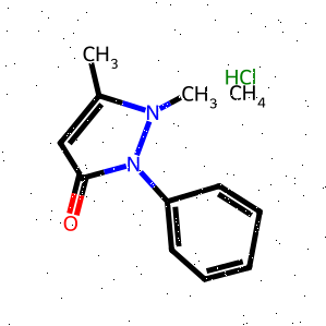 C.Cc1cc(=O)n(-c2ccccc2)n1C.Cl